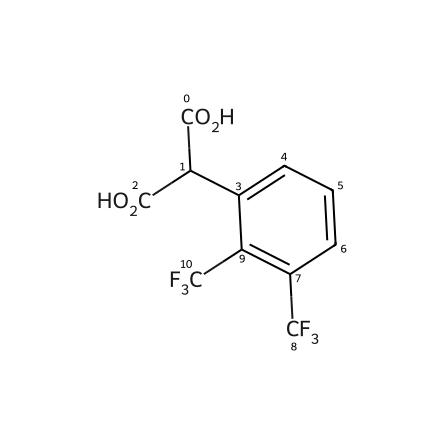 O=C(O)C(C(=O)O)c1cccc(C(F)(F)F)c1C(F)(F)F